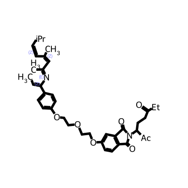 C\C=C(/N=C(C)/C=C(C)\C=C/C(C)C)c1ccc(OCCOCCOc2ccc3c(c2)C(=O)N(C(CCC(=O)CC)C(C)=O)C3=O)cc1